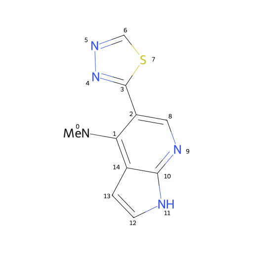 CNc1c(-c2nncs2)cnc2[nH]ccc12